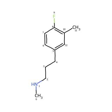 CNCCCc1ccc(F)c(C)c1